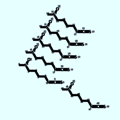 C[S+]([O-])CCCCN=C=S.C[S+]([O-])CCCCN=C=S.C[S+]([O-])CCCCN=C=S.C[S+]([O-])CCCCN=C=S.C[S+]([O-])CCCCN=C=S.C[S+]([O-])CCCCN=C=S